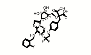 O=C(O)C(Cc1ccc(OCC(F)(F)F)cc1)(OC[C@H]1O[C@@H](c2cnc3c(NCc4ccccc4F)ncnn23)[C@H](O)[C@@H]1O)C(=O)O